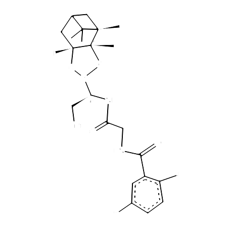 CC(C)C[C@H](NC(=O)CNC(=O)c1cc(Br)ccc1F)B1O[C@@H]2CC3C[C@@H](C3(C)C)[C@]2(C)O1